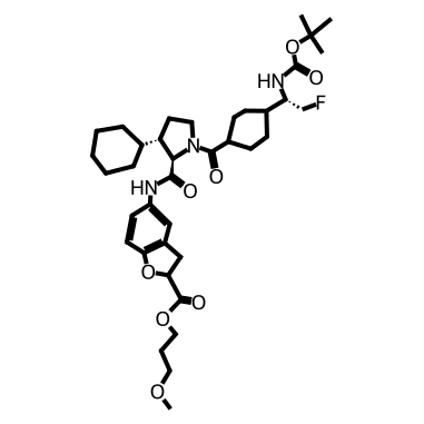 COCCCOC(=O)C1Cc2cc(NC(=O)[C@H]3[C@H](C4CCCCC4)CCN3C(=O)C3CCC([C@@H](CF)NC(=O)OC(C)(C)C)CC3)ccc2O1